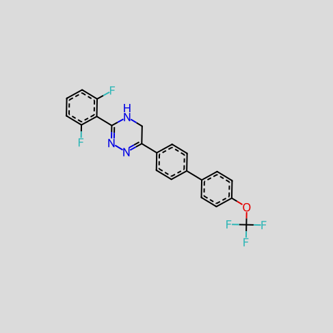 Fc1cccc(F)c1C1=NN=C(c2ccc(-c3ccc(OC(F)(F)F)cc3)cc2)CN1